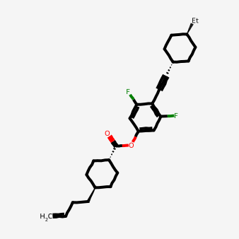 C=CCC[C@H]1CC[C@H](C(=O)Oc2cc(F)c(C#C[C@H]3CC[C@H](CC)CC3)c(F)c2)CC1